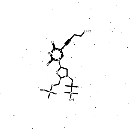 CC(C)(C[C@@H]1C[C@H](n2cc(C#CCCC=O)c(=O)[nH]c2=O)O[C@@H]1CO[Si](C)(C)C(C)(C)C)[Si](C)(C)O